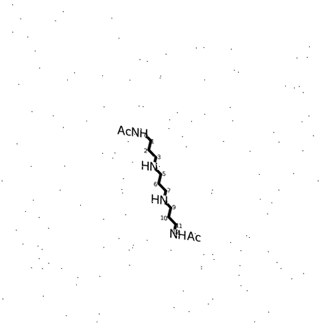 CC(=O)NCCCNCCCNCCCNC(C)=O